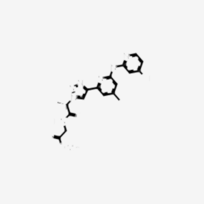 COC(=O)CNC(=O)[C@@H](C)n1cc(-c2cc(C)cc(Nc3cc(C(F)(F)F)ccn3)n2)nn1